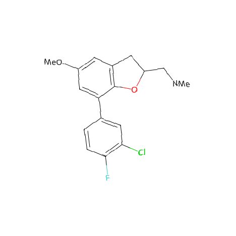 CNCC1Cc2cc(OC)cc(-c3ccc(F)c(Cl)c3)c2O1